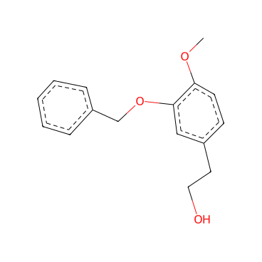 COc1ccc(CCO)cc1OCc1ccccc1